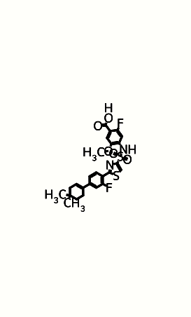 COc1cc(C(=O)O)c(F)cc1NS(=O)(=O)c1csc(-c2ccc(C3=CCC(C)(C)CC3)cc2F)n1